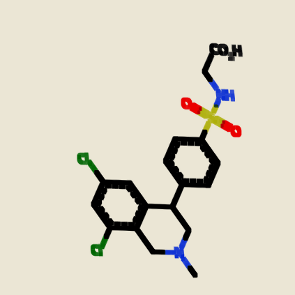 CN1Cc2c(Cl)cc(Cl)cc2C(c2ccc(S(=O)(=O)NCC(=O)O)cc2)C1